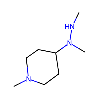 CNN(C)C1CCN(C)CC1